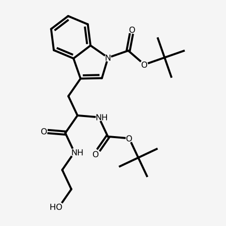 CC(C)(C)OC(=O)NC(Cc1cn(C(=O)OC(C)(C)C)c2ccccc12)C(=O)NCCO